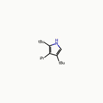 CC(C)c1c(C(C)(C)C)c[nH]c1C(C)(C)C